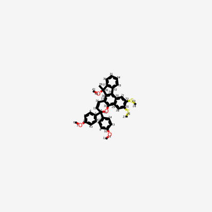 COc1ccc(C2(c3ccc(OC)cc3)C=Cc3c4c(c5cc(SC)c(SC)cc5c3O2)-c2ccccc2C4(C)OC)cc1